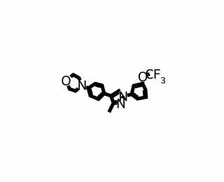 Cc1nn(-c2cccc(OC(F)(F)F)c2)cc1-c1ccc(N2CCOCC2)cc1